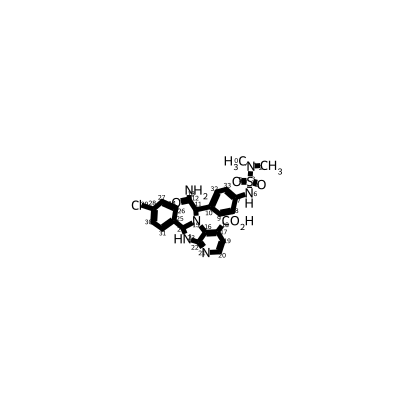 CN(C)S(=O)(=O)Nc1ccc(C(C(N)=O)N2c3c(C(=O)O)ccnc3NC2c2ccc(Cl)cc2)cc1